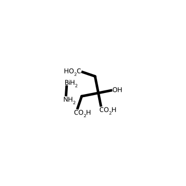 O=C(O)CC(O)(CC(=O)O)C(=O)O.[NH2][BiH2]